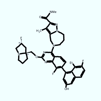 CCc1c(F)ccc2cc(O)cc(-c3ccc4c(N5CCCn6nc(C(=O)NC)c(C)c6C5)nc(OC[C@@]56CCCN5C[C@H](F)C6)nc4c3F)c12